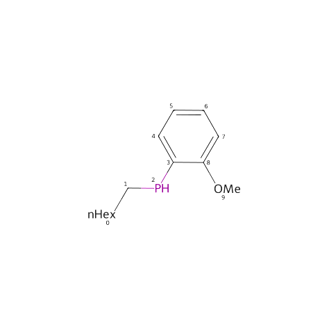 CCCCCCCPc1ccccc1OC